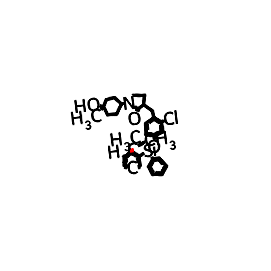 CC1(O)CCC(N2CCC(Cc3ccc(O[Si](c4ccccc4)(c4ccccc4)C(C)(C)C)cc3Cl)C2=O)CC1